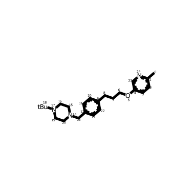 Cc1ccc(OCCCc2ccc(CN3CCN(C(C)(C)C)CC3)cc2)cn1